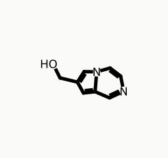 OCc1cc2cnccn2c1